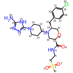 CS(=O)(=O)CCNC(=O)[C@H]1CN(C2CCN(c3nnc(N)[nH]3)CC2)[C@@H](Cc2ccc(Cl)cc2)CO1